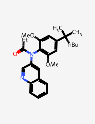 CCCCC(C)(C)c1cc(OC)c(N(C(=O)CC)c2cnc3ccccc3c2)c(OC)c1